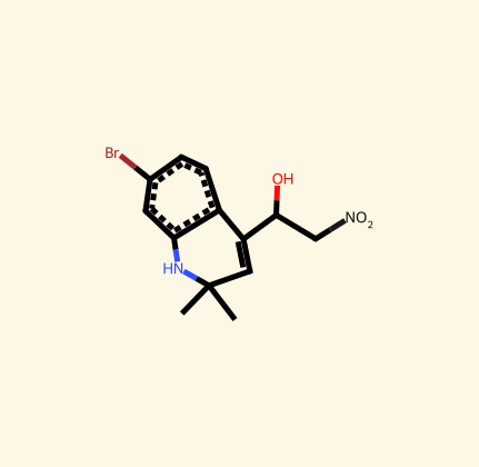 CC1(C)C=C(C(O)C[N+](=O)[O-])c2ccc(Br)cc2N1